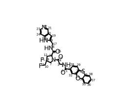 O=C(NCC(=O)N1C[C@@](F)(CF)CC1C(=O)NCc1cc2cnccc2[nH]1)c1ccc2c(c1)Oc1ccccc1S2